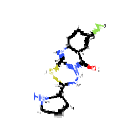 O=c1c2cc(F)ccc2nc2sc(C3CCCN3)nn12